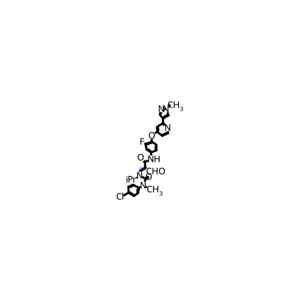 CC(C)N(/C=C(\C=O)C(=O)Nc1ccc(Oc2ccnc(-c3cnn(C)c3)c2)c(F)c1)C(=O)N(C)c1ccc(Cl)cc1